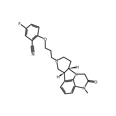 CN1C(=O)CN2c3c(cccc31)[C@@H]1CN(CCCOc3ccc(F)cc3C#N)CC[C@@H]12